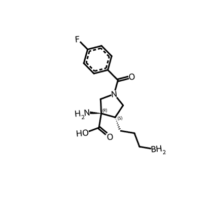 BCCC[C@H]1CN(C(=O)c2ccc(F)cc2)C[C@@]1(N)C(=O)O